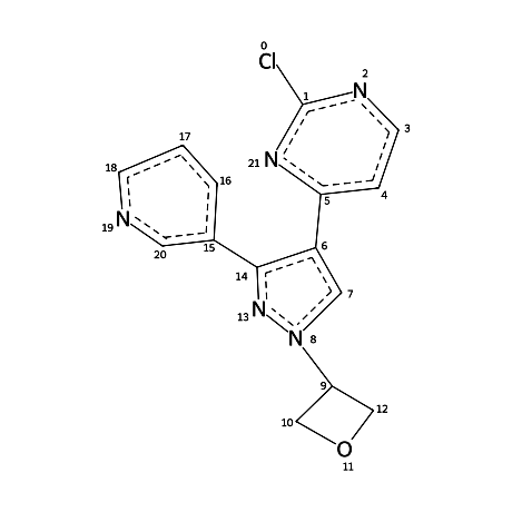 Clc1nccc(-c2cn(C3COC3)nc2-c2cccnc2)n1